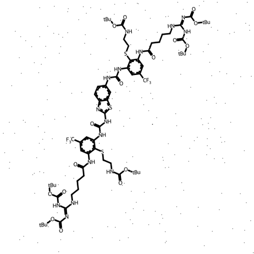 CC(C)(C)OC(=O)N=C(NCCCCC(=O)Nc1cc(C(F)(F)F)cc(NC(=O)Nc2ccc3nc(NC(=O)Nc4cc(C(F)(F)F)cc(NC(=O)CCCCNC(=NC(=O)OC(C)(C)C)NC(=O)OC(C)(C)C)c4SCCNC(=O)OC(C)(C)C)sc3c2)c1SCCNC(=O)OC(C)(C)C)NC(=O)OC(C)(C)C